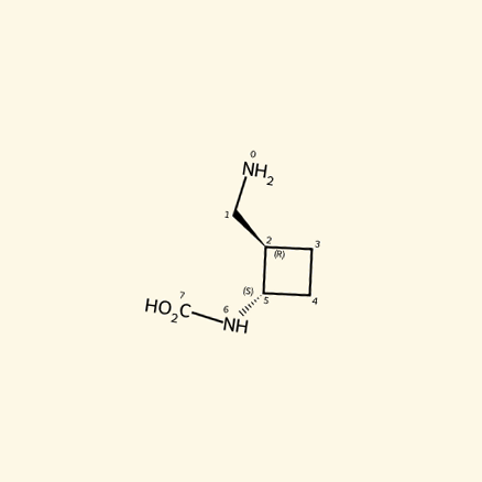 NC[C@H]1CC[C@@H]1NC(=O)O